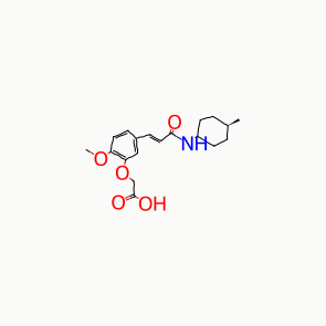 COc1ccc(C=CC(=O)N[C@H]2CC[C@H](C)CC2)cc1OCC(=O)O